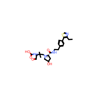 CCc1ncsc1-c1ccc(CCNC(=O)[C@@H]2C[C@@H](O)CN2CC(C)(C)[C@@H](C=O)NC(=O)O)cc1